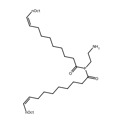 CCCCCCCC/C=C\CCCCCCCC(=O)P(CCN)C(=O)CCCCCCC/C=C\CCCCCCCC